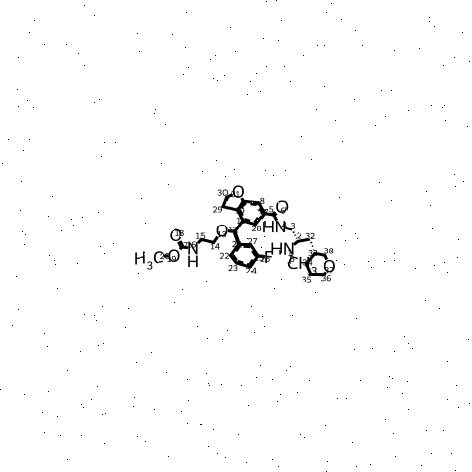 CN[C@H](CNC(=O)c1cc2c(c(C(OCCNC(=O)OC)c3cccc(F)c3)c1)CCO2)C[C@H]1CCCOC1